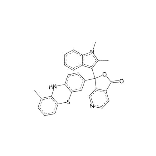 Cc1cccc2c1Nc1ccc(C3(c4c(C)n(C)c5ccccc45)OC(=O)c4ccncc43)cc1S2